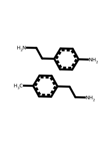 Cc1ccc(CCN)cc1.NCCc1ccc(N)cc1